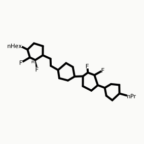 CCCCCCC1CCC(CCC2CCC(C3CCC(C4CCC(CCC)CC4)C(F)C3F)CC2)[C@@H](F)C1F